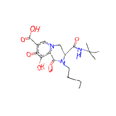 CCCCN1C(=O)c2c(O)c(=O)c(C(=O)O)cn2CC1C(=O)NC(C)(C)C